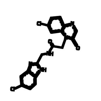 O=C(Cn1c(=O)cnc2ccc(Cl)cc21)NCc1nc2cc(Cl)ccc2[nH]1